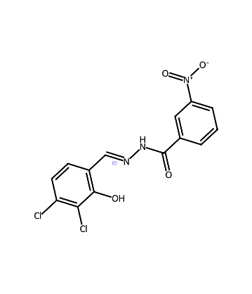 O=C(N/N=C/c1ccc(Cl)c(Cl)c1O)c1cccc([N+](=O)[O-])c1